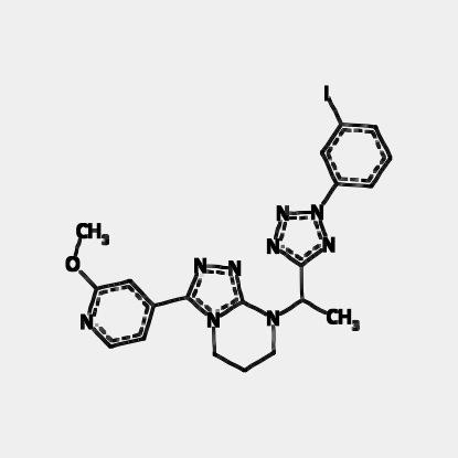 COc1cc(-c2nnc3n2CCCN3C(C)c2nnn(-c3cccc(I)c3)n2)ccn1